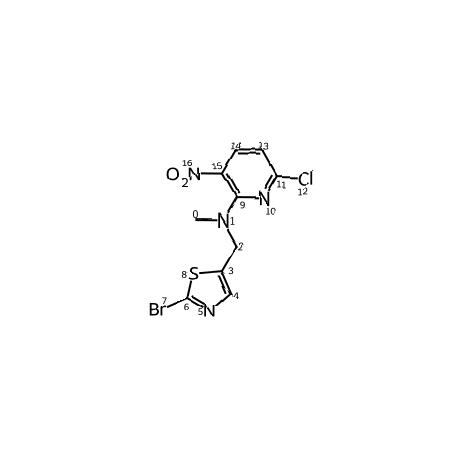 CN(Cc1cnc(Br)s1)c1nc(Cl)ccc1[N+](=O)[O-]